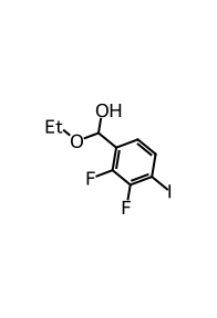 CCOC(O)c1ccc(I)c(F)c1F